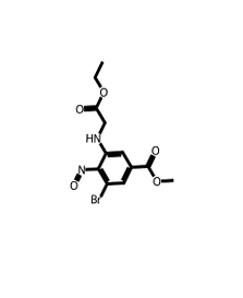 CCOC(=O)CNc1cc(C(=O)OC)cc(Br)c1N=O